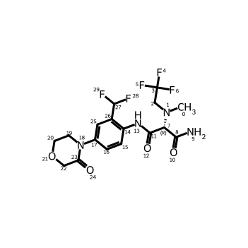 CN(CC(F)(F)F)[C@H](C(N)=O)C(=O)Nc1ccc(N2CCOCC2=O)cc1C(F)F